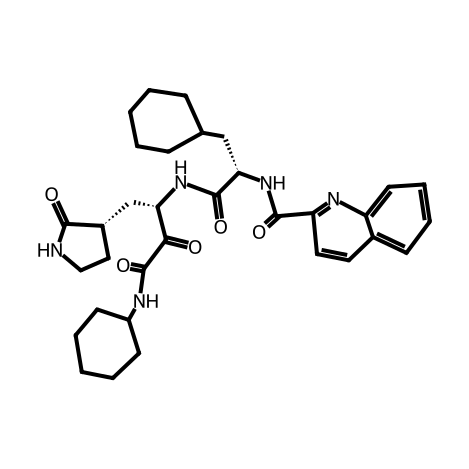 O=C(NC1CCCCC1)C(=O)[C@H](C[C@@H]1CCNC1=O)NC(=O)[C@H](CC1CCCCC1)NC(=O)c1ccc2ccccc2n1